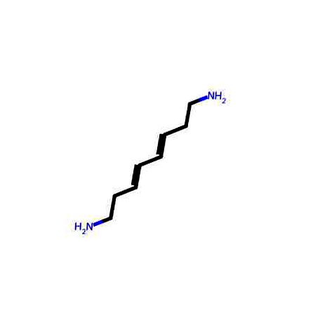 NCCC=CC=CCCN